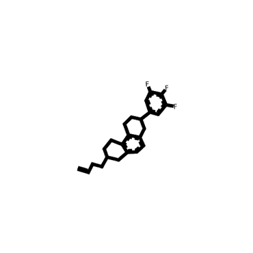 C=CCCC1CCc2c(ccc3c2CCC(c2cc(F)c(F)c(F)c2)C3)C1